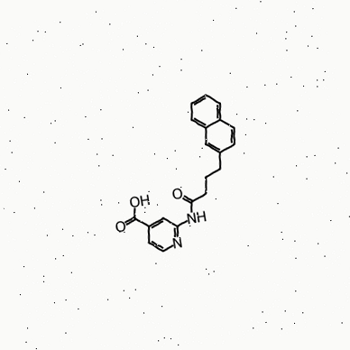 O=C(CCCc1ccc2ccccc2c1)Nc1cc(C(=O)O)ccn1